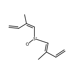 C=CC(C)=C[S+]([O-])C=C(C)C=C